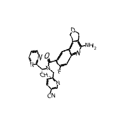 C[C@H](c1ncccn1)N(Cc1ccc(C#N)cn1)C(=O)c1cc2c3c(c(N)nc2cc1F)COC3